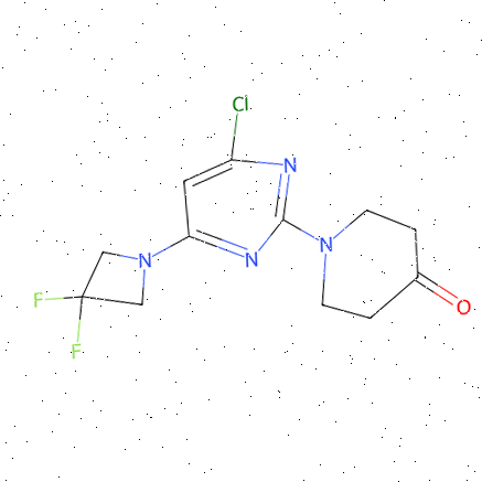 O=C1CCN(c2nc(Cl)cc(N3CC(F)(F)C3)n2)CC1